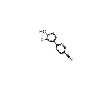 N#Cc1ccc(-c2ccc(O)c(F)c2)nc1